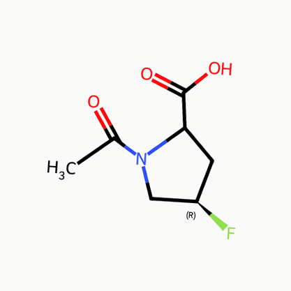 CC(=O)N1C[C@H](F)CC1C(=O)O